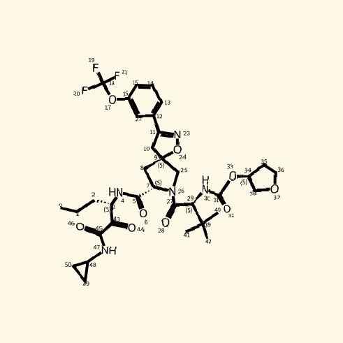 CCC[C@H](NC(=O)[C@@H]1C[C@]2(CC(c3cccc(OC(F)(F)F)c3)=NO2)CN1C(=O)[C@@H](NC(=O)O[C@H]1CCOC1)C(C)(C)C)C(=O)C(=O)NC1CC1